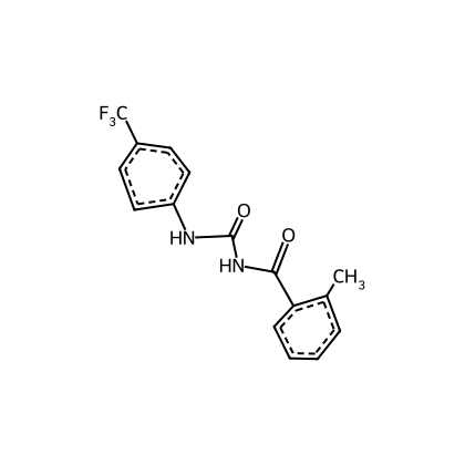 Cc1ccccc1C(=O)NC(=O)Nc1ccc(C(F)(F)F)cc1